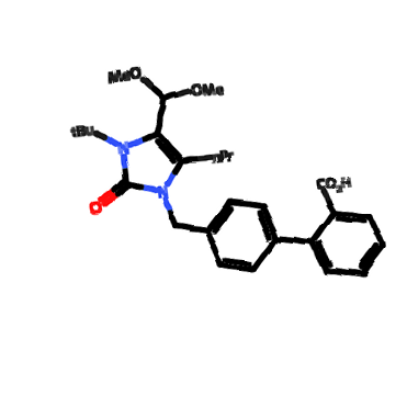 CCCc1c(C(OC)OC)n(C(C)(C)C)c(=O)n1Cc1ccc(-c2ccccc2C(=O)O)cc1